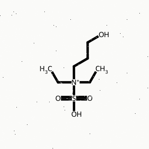 CC[N+](CC)(CCCO)S(=O)(=O)O